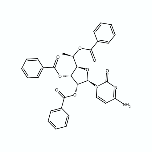 C[C@@H](OC(=O)c1ccccc1)[C@H]1O[C@@H](n2ccc(N)nc2=O)[C@H](OC(=O)c2ccccc2)[C@@H]1OC(=O)c1ccccc1